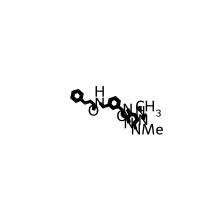 CNc1nc2oc(-c3cccc(CNC(=O)CCc4ccccc4)c3)nc2c2c1ncn2C